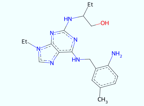 CCC(CO)Nc1nc(NCc2cc(C)ccc2N)c2ncn(CC)c2n1